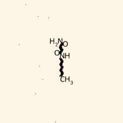 CCCCCCCCNC(=O)C=CC(N)=O